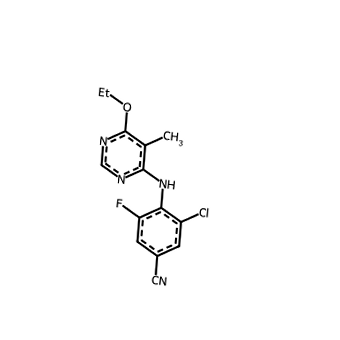 CCOc1ncnc(Nc2c(F)cc(C#N)cc2Cl)c1C